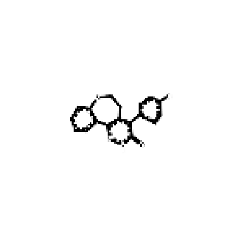 O=c1[nH]nc2c(c1-c1ccc(Cl)cc1)CCSc1ccccc1-2